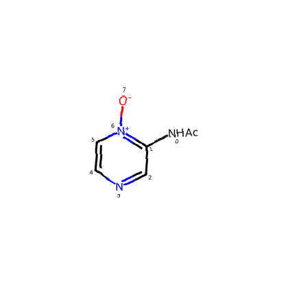 CC(=O)Nc1cncc[n+]1[O-]